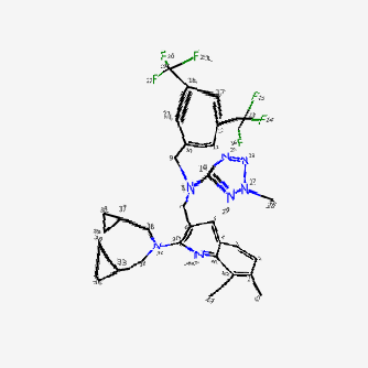 Cc1ccc2cc(CN(Cc3cc(C(F)(F)F)cc(C(F)(F)F)c3)c3nnn(C)n3)c(N(CC3CC3)CC3CC3)nc2c1C